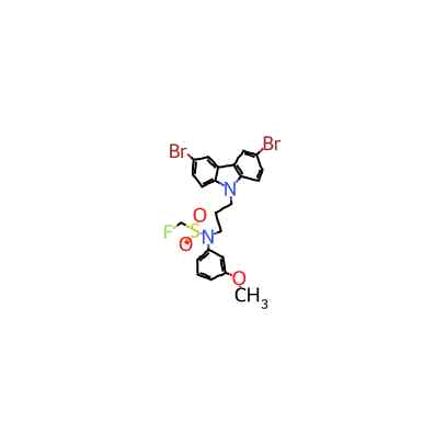 COc1cccc(N(CCCn2c3ccc(Br)cc3c3cc(Br)ccc32)S(=O)(=O)CF)c1